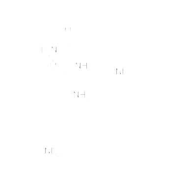 NC(=O)C(Cc1c[nH]c2ccccc12)NC(=O)C(N)Cc1ccc(N)cc1